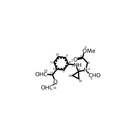 COC(=O)CN(C=O)C1(Nc2cccc(C(C=O)OC=O)c2)CC1